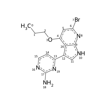 CCCOc1cc(Br)nc2[nH]cc(-c3ccnc(N)n3)c12